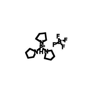 C1CCN([PH+](N2CCCC2)N2CCCC2)C1.F[B-](F)(F)F